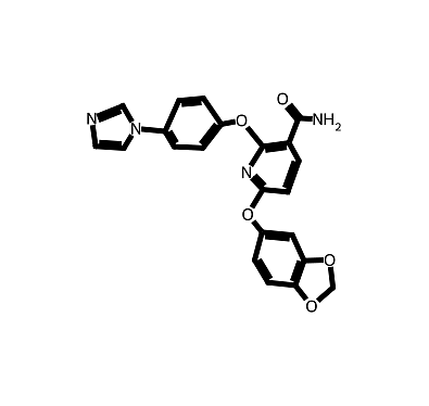 NC(=O)c1ccc(Oc2ccc3c(c2)OCO3)nc1Oc1ccc(-n2ccnc2)cc1